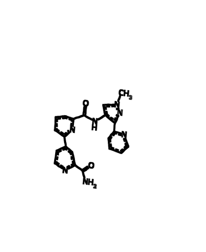 Cn1cc(NC(=O)c2cccc(-c3ccnc(C(N)=O)c3)n2)c(-c2ccccn2)n1